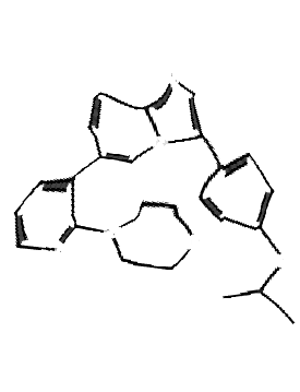 CC(C)Sc1ccc(-c2cnc3ccc(-c4cccnc4N4CCOCC4)cn23)cc1